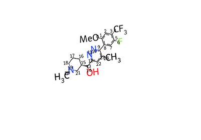 COc1cc(C(F)(F)F)c(F)cc1-c1nnc(C(O)[C@@H]2CCCN(C)C2)cc1C